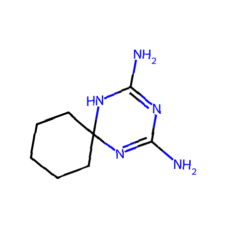 NC1=NC2(CCCCC2)NC(N)=N1